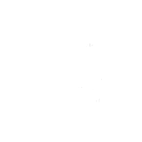 CCCC(=O)OC1C=C(OCC(C)C)c2cccc3cccc1c23